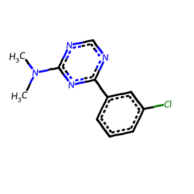 CN(C)c1ncnc(-c2cccc(Cl)c2)n1